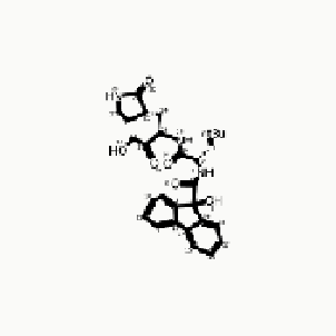 CC(C)(C)C[C@H](NC(=O)C1(O)c2ccccc2-c2ccccc21)C(=O)N[C@H](C[C@@H]1CCNC1=O)C(=O)CO